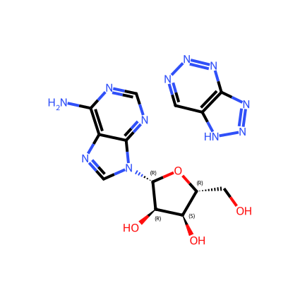 Nc1ncnc2c1ncn2[C@@H]1O[C@H](CO)[C@@H](O)[C@H]1O.c1nnnc2nn[nH]c12